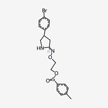 Cc1ccc(S(=O)OCCO/N=C2/CC(c3ccc(Br)cc3)CN2)cc1